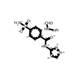 CCCNC=O.NS(=O)(=O)c1ccc(C(=O)Nc2nncs2)cc1